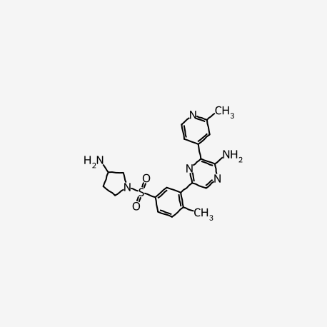 Cc1cc(-c2nc(-c3cc(S(=O)(=O)N4CCC(N)C4)ccc3C)cnc2N)ccn1